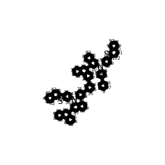 c1ccc(-c2ccc(N(c3cc(-c4cc5ccccc5c5cc(-c6cccc(-c7ccc(N(c8ccc9c(c8)sc8c%10ccccc%10ccc98)c8cc(-c9cc%10ccccc%10c%10ccccc9%10)cc9ccccc89)cc7)c6)ccc45)c4ccccc4c3)c3ccc4c(c3)sc3c5ccccc5ccc43)cc2)cc1